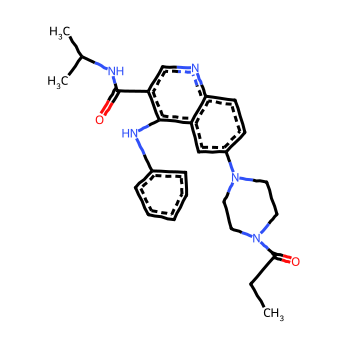 CCC(=O)N1CCN(c2ccc3ncc(C(=O)NC(C)C)c(Nc4ccccc4)c3c2)CC1